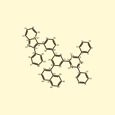 c1ccc(-c2nc(-c3ccccc3)nc(-c3cc(-c4cccc(-c5c(-c6ccccc6)nc6ccccn56)c4)cc(-c4cccc5ccccc45)c3)n2)cc1